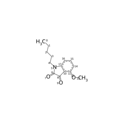 CCCCCN1C(=O)C(=O)c2c(OC)cccc21